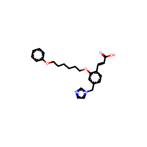 O=C(O)/C=C/c1ccc(Cn2ccnc2)cc1OCCCCCCOc1ccccc1